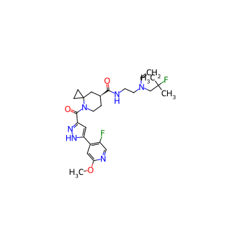 C=CN(CCNC(=O)[C@H]1CCN(C(=O)c2cc(-c3cc(OC)ncc3F)[nH]n2)C2(CC2)C1)CC(C)(C)F